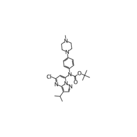 CC(C)c1cnn2c(N(C(=O)OC(C)(C)C)c3ccc(N4CCN(C)CC4)cc3)cc(Cl)nc12